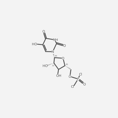 O=c1[nH]c(=O)n([C@@H]2O[C@H](COP(=O)(Cl)Cl)C(O)[C@@H]2O)cc1O